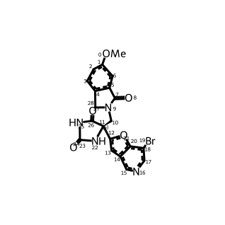 COc1ccc2c(c1)C(=O)N(C[C@@]1(c3cc4cncc(Br)c4o3)NC(=O)NC1=O)C2